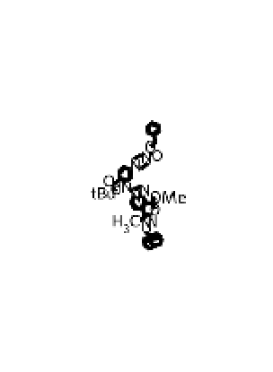 COC(=O)c1c(-c2cnn(CC34CC5CC(CC(C5)C3)C4)c2C)ccn2c(Nc3cc(N4CCN(C(=O)OCc5ccccc5)CC4)ccc3C(=O)OC(C)(C)C)cnc12